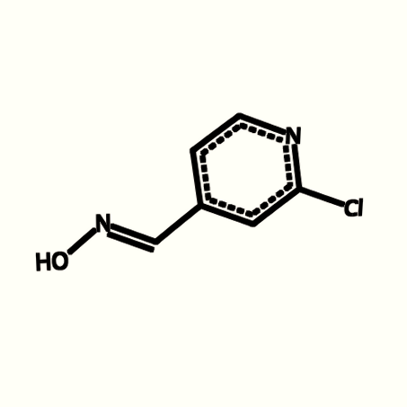 ON=Cc1ccnc(Cl)c1